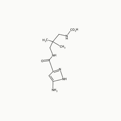 CC(C)(CNC(=O)O)CNC(=O)c1cc(N)[nH]n1